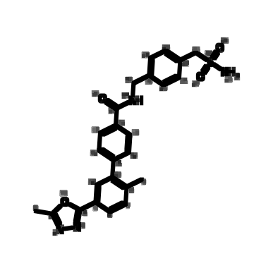 Cc1nnc(-c2ccc(C)c(-c3ccc(C(=O)NCc4ccc(CS(N)(=O)=O)cc4)cc3)c2)o1